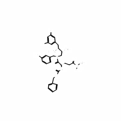 CCCN(CCC)C(=O)CC[C@@H](NC(=O)OCc1ccccc1)C(=O)N(Cc1cccc(CC)c1)C[C@@H](O)[C@@H](N)Cc1cc(F)cc(F)c1